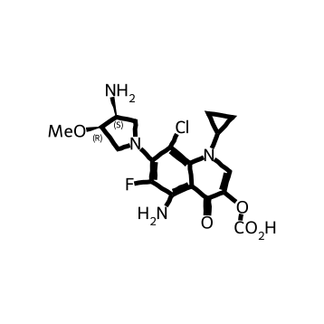 CO[C@@H]1CN(c2c(F)c(N)c3c(=O)c(OC(=O)O)cn(C4CC4)c3c2Cl)C[C@@H]1N